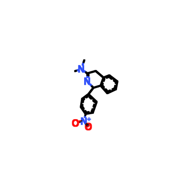 CN(C)C1=NC(c2ccc([N+](=O)[O-])cc2)c2ccccc2C1